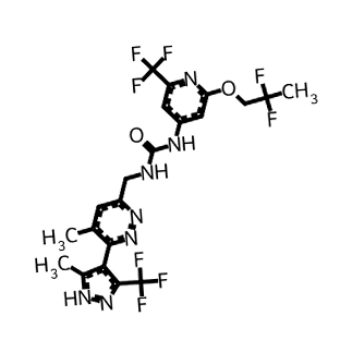 Cc1cc(CNC(=O)Nc2cc(OCC(C)(F)F)nc(C(F)(F)F)c2)nnc1-c1c(C(F)(F)F)n[nH]c1C